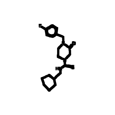 O=C1CN(C(=S)NCC2CCCCC2)CCN1Cc1ccc(F)cc1